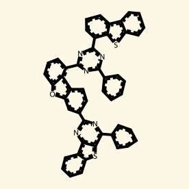 c1ccc(-c2nc(-c3cccc4c3sc3ccccc34)nc(-c3cccc4oc5cc(-c6nc(-c7ccccc7)c7sc8ccccc8c7n6)ccc5c34)n2)cc1